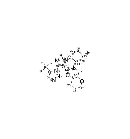 CC(C)(C)c1cnnn1-c1ncn2c1c(=O)n(CC1CCCCO1)c1cc(F)ccc12